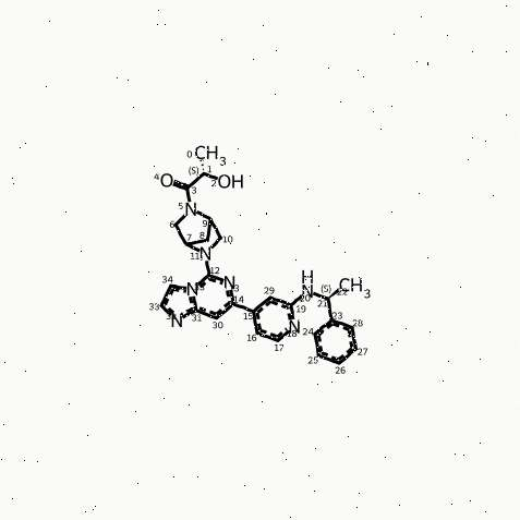 C[C@H](O)C(=O)N1CC2CC1CN2c1nc(-c2ccnc(N[C@@H](C)c3ccccc3)c2)cc2nccn12